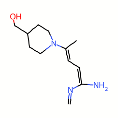 C=N/C(N)=C\C=C(/C)N1CCC(CO)CC1